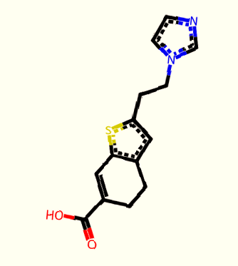 O=C(O)C1=Cc2sc(CCn3ccnc3)cc2CC1